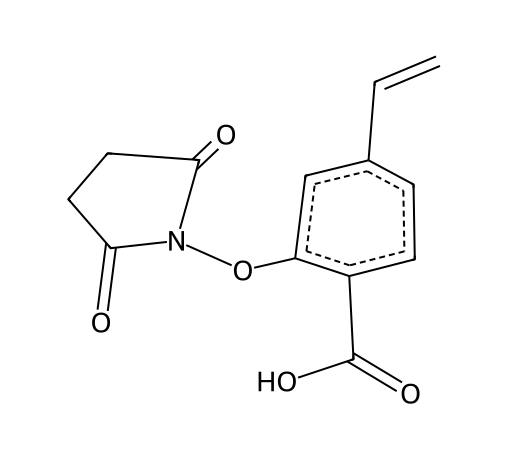 C=Cc1ccc(C(=O)O)c(ON2C(=O)CCC2=O)c1